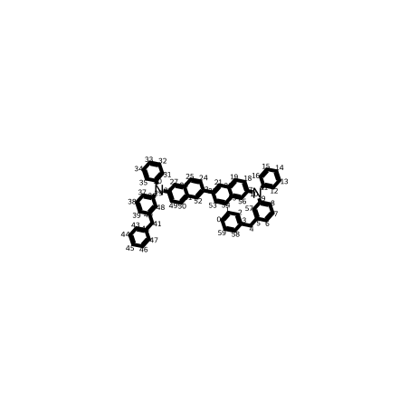 c1ccc(Cc2cccc(N(c3ccccc3)c3ccc4cc(-c5ccc6cc(N(c7ccccc7)c7cccc(Cc8ccccc8)c7)ccc6c5)ccc4c3)c2)cc1